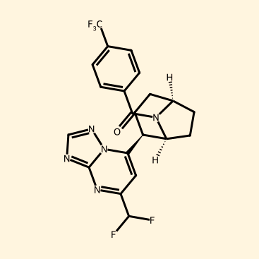 O=C(c1ccc(C(F)(F)F)cc1)N1[C@H]2CC[C@H](c3cc(C(F)F)nc4ncnn34)[C@@H]1CC2